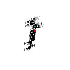 CC(C)(O)NC/C=C(\CO)[C@H]1CC[C@]2(C)[C@@H]1CC[C@@H]1[C@@]3(C)CC[C@H](O[C@@H]4O[C@H](CO)[C@@H](O)[C@H](O)[C@H]4O[C@@H]4O[C@H](CO)[C@@H](O)[C@H](O)[C@H]4O)C(C)(C)[C@@H]3CC[C@]12C